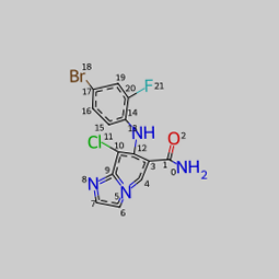 NC(=O)c1cn2ccnc2c(Cl)c1Nc1ccc(Br)cc1F